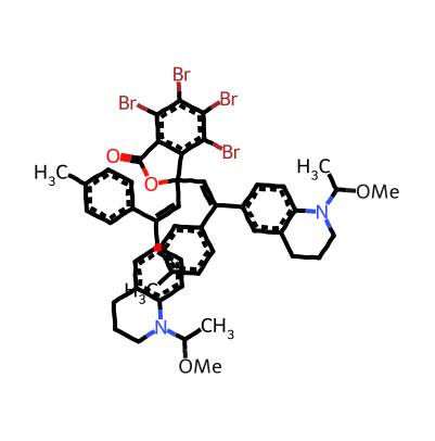 COC(C)N1CCCc2cc(/C(=C/C3(/C=C(\c4ccc(C)cc4)c4ccc5c(c4)CCCN5C(C)OC)OC(=O)c4c(Br)c(Br)c(Br)c(Br)c43)c3ccc(C)cc3)ccc21